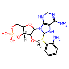 COC1C(N2C3=C(NC2Sc2ccccc2N)C(N)=NCN3)OC2CO[PH](O)(O)O[C@H]21